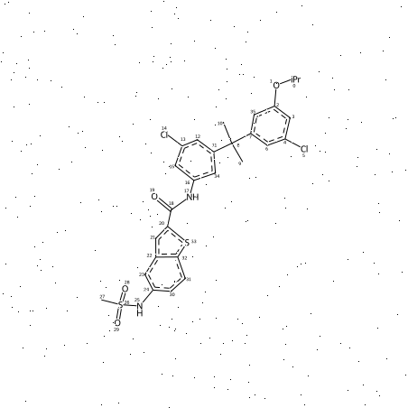 CC(C)Oc1cc(Cl)cc(C(C)(C)c2cc(Cl)cc(NC(=O)c3cc4cc(NS(C)(=O)=O)ccc4s3)c2)c1